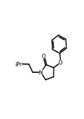 CC(C)CCN1CCC(Oc2ccccc2)C1=O